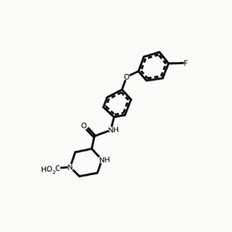 O=C(Nc1ccc(Oc2ccc(F)cc2)cc1)C1CN(C(=O)O)CCN1